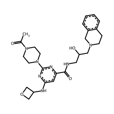 CC(=O)N1CCN(c2nc(NC3COC3)cc(C(=O)NCC(O)CN3CCc4ccccc4C3)n2)CC1